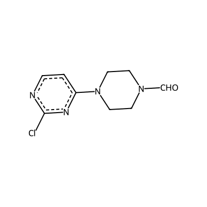 O=CN1CCN(c2ccnc(Cl)n2)CC1